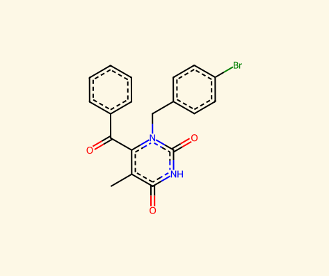 Cc1c(C(=O)c2ccccc2)n(Cc2ccc(Br)cc2)c(=O)[nH]c1=O